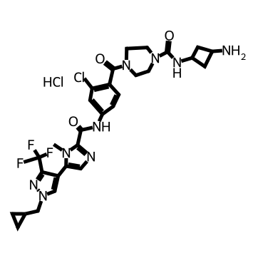 Cl.Cn1c(-c2cn(CC3CC3)nc2C(F)(F)F)cnc1C(=O)Nc1ccc(C(=O)N2CCN(C(=O)NC3CC(N)C3)CC2)c(Cl)c1